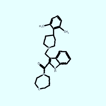 Cc1cccc(C)c1C1CCN(Cc2c(C(=O)N3CCCOCC3)[nH]c3ccccc23)CC1